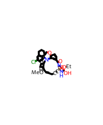 CCOC(O)N[S@]1(=O)=NC(=O)c2ccc3c(c2)N(C[C@@H]2CC[C@H]2[C@@H](OC)/C=C/CCC1)C[C@@]1(CCCc2cc(Cl)ccc21)CO3